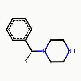 C[C@H](c1ccccc1)N1CCNCC1